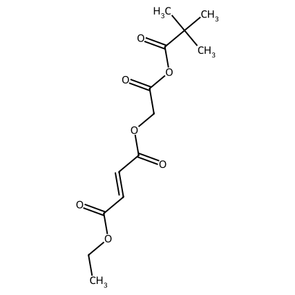 CCOC(=O)C=CC(=O)OCC(=O)OC(=O)C(C)(C)C